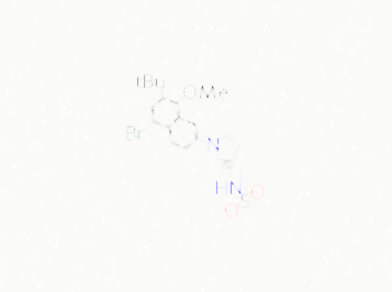 COc1c(C(C)(C)C)cc(Br)c2ccc(N3CC[C@H](CNS(C)(=O)=O)C3)cc12